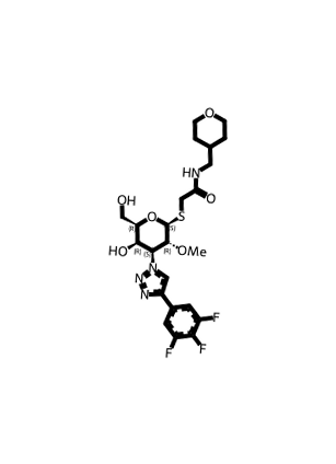 CO[C@@H]1[C@@H](n2cc(-c3cc(F)c(F)c(F)c3)nn2)[C@@H](O)[C@@H](CO)O[C@H]1SCC(=O)NCC1CCOCC1